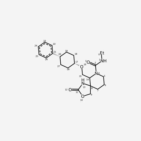 CCNC(=O)N1CCCC2(COC(=O)N2)C1CO[C@H]1CC[C@@H](c2ccccc2)CC1